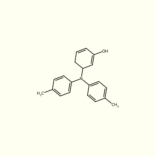 Cc1ccc(N(c2ccc(C)cc2)C2C=C(O)C=CC2)cc1